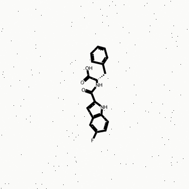 O=C(N[C@@H](Cc1ccccc1)C(=O)O)c1cc2cc(F)ccc2[nH]1